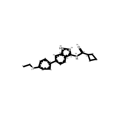 CCSc1ccc(-c2ccc3c(NC(=O)C4CCC4)n[nH]c3c2)cc1